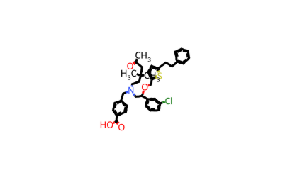 CC(=O)CC(C)(C)CCN(Cc1ccc(C(=O)O)cc1)CC(OCc1ccc(CCc2ccccc2)s1)c1cccc(Cl)c1